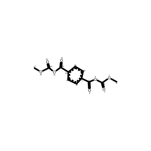 COC(=O)OC(=O)c1ccc(C(=O)OC(=O)OC)cc1